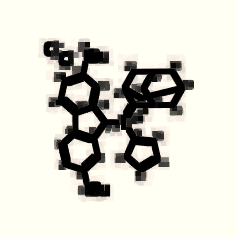 CC(C)(C)c1ccc2c(c1)[CH]([Ti+2]([C]1=CC=CC1)=[C]1C3CC4CC(C3)CC1C4)c1cc(C(C)(C)C)ccc1-2.[Cl-].[Cl-]